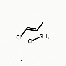 CC=CCl.[SiH3]Cl